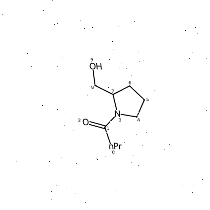 CCCC(=O)N1CCCC1CO